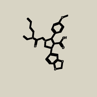 CCCCN(CC)C(=O)CN1CC(c2ccc3c(c2)OCO3)C(C(=O)O)C1c1ccc(OC)cc1